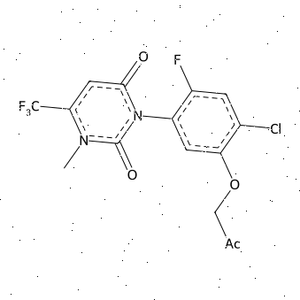 CC(=O)COc1cc(-n2c(=O)cc(C(F)(F)F)n(C)c2=O)c(F)cc1Cl